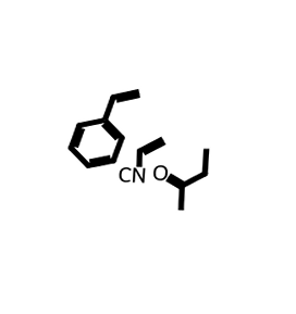 C=CC#N.C=Cc1ccccc1.CCC(C)=O